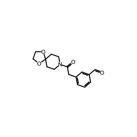 O=Cc1cccc(CC(=O)N2CCC3(CC2)OCCO3)c1